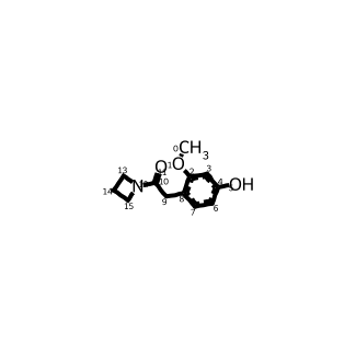 COc1cc(O)ccc1CC(=O)N1CCC1